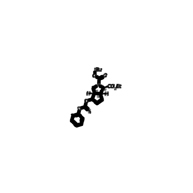 CCOC(=O)[C@@H]1[C@H]2CCC(OC(=S)Oc3ccccc3)[C@H]2CN1C(=O)OC(C)(C)C